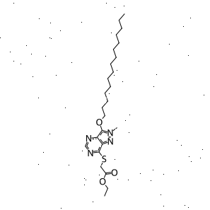 CCCCCCCCCCCCCCCOc1c2ncnc(SCC(=O)OCC)c2nn1C